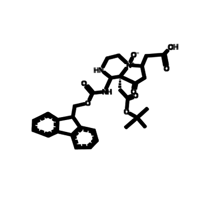 CC(C)(C)OC(=O)C[C@@]12C(=O)CC(CC(=O)O)[N+]1([O-])CCNC2NC(=O)OCC1c2ccccc2-c2ccccc21